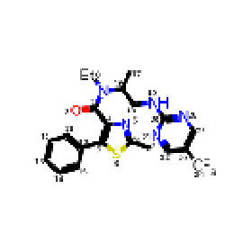 CCN(C(=O)c1nc(C)sc1-c1ccccc1)C(C)CNc1ncc(C(F)(F)F)cn1